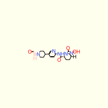 O=CBN1CCC(c2ccc(NC(=O)[C@@H]3CC[C@@H]4CN3C(=O)N4O)nc2)CC1